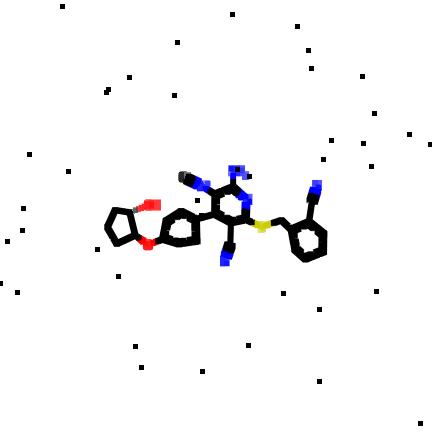 [C-]#[N+]c1c(N)nc(SCc2ccccc2C#N)c(C#N)c1-c1ccc(O[C@H]2CCC[C@@H]2O)cc1